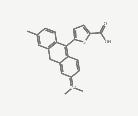 Cc1ccc2c(c1)CC1=CC(=[N+](C)C)C=CC1=C2c1ccc(C(=O)O)s1